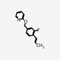 C/C=C/c1ccc(COc2ccccn2)cc1F